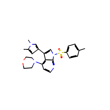 Cc1ccc(S(=O)(=O)n2cc(-c3cc(C#N)n(C)c3)c3c(N4CCOCC4)ccnc32)cc1